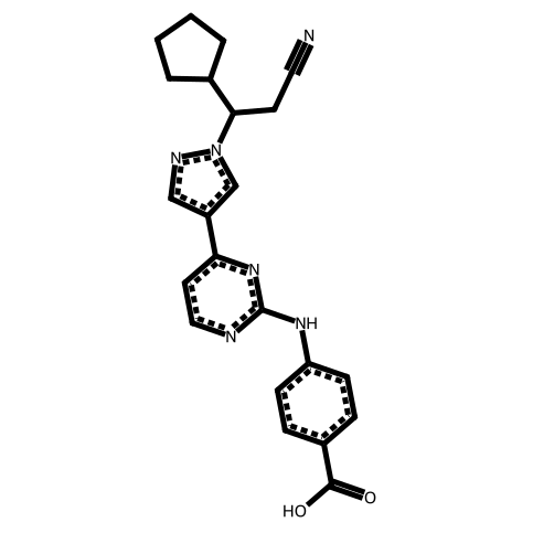 N#CCC(C1CCCC1)n1cc(-c2ccnc(Nc3ccc(C(=O)O)cc3)n2)cn1